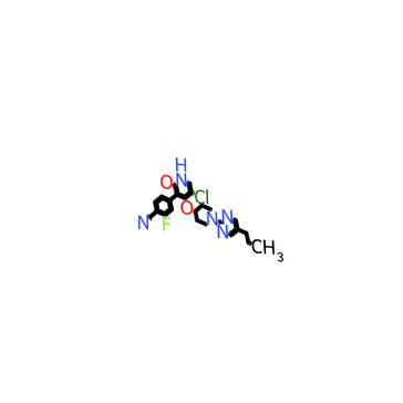 CCCc1cnc(N2CCC(Oc3c(Cl)c[nH]c(=O)c3-c3ccc(C#N)c(F)c3)CC2)nc1